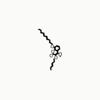 CC/C=C/CCOc1c(OC)c2cccc(OCCCCCCCCCC)c2oc1=O